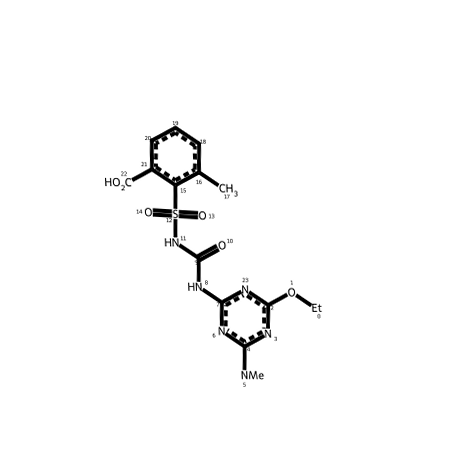 CCOc1nc(NC)nc(NC(=O)NS(=O)(=O)c2c(C)cccc2C(=O)O)n1